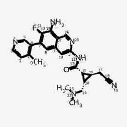 Cc1ccncc1-c1cc2cc(NC(=O)[C@@H]3[C@@H](CC#N)[C@@H]3CN(C)C)ncc2c(N)c1F